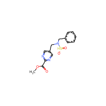 COC(=O)c1ncc(CN(Cc2ccccc2)[SH](=O)=O)cn1